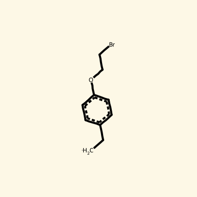 [CH2]Cc1ccc(OCCBr)cc1